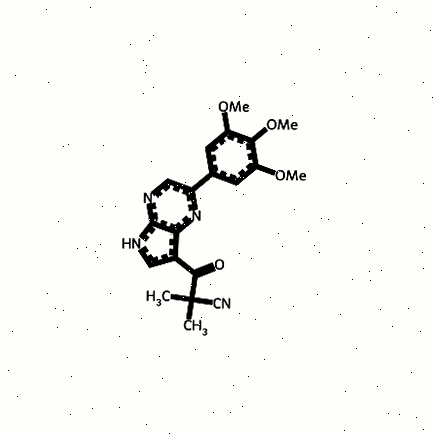 COc1cc(-c2cnc3[nH]cc(C(=O)C(C)(C)C#N)c3n2)cc(OC)c1OC